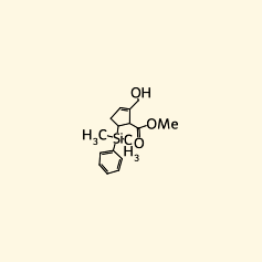 COC(=O)C1C(CO)=CCC1[Si](C)(C)c1ccccc1